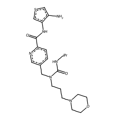 CC(C)NC(=O)N(CCCN1CCOCC1)Cc1ccc(C(=O)Nc2cscc2N)nc1